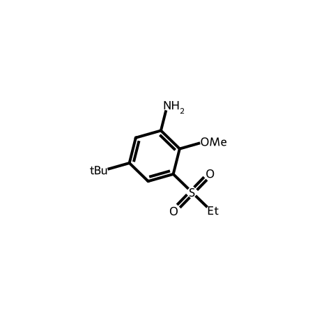 CCS(=O)(=O)c1cc(C(C)(C)C)cc(N)c1OC